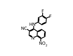 N#Cc1cnc2c([N+](=O)[O-])cccc2c1Nc1ccc(F)c(F)c1